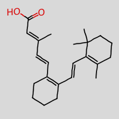 CC1=C(/C=C/C2=C(/C=C/C(C)=C/C(=O)O)CCCC2)C(C)(C)CCC1